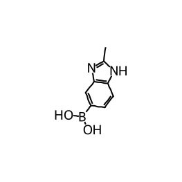 Cc1nc2cc(B(O)O)ccc2[nH]1